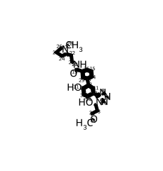 COCCCn1nnnc1-c1cc(-c2cccc(C(=O)NCCC3CCCN3C)c2)c(O)cc1O